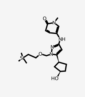 Cn1cc(Nc2cc([C@H]3CC[C@@H](O)C3)n(COCC[Si](C)(C)C)n2)ccc1=O